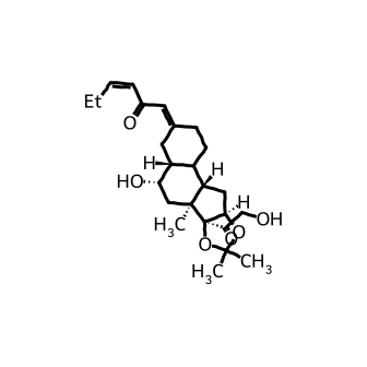 CC/C=C\C(=O)/C=C1/CCC2[C@@H](C1)[C@@H](O)C[C@@]1(C)[C@H]2C[C@H]2OC(C)(C)O[C@]21C(=O)CO